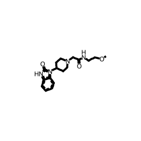 COCCNC(=O)CN1CCC(n2c(=O)[nH]c3ccccc32)CC1